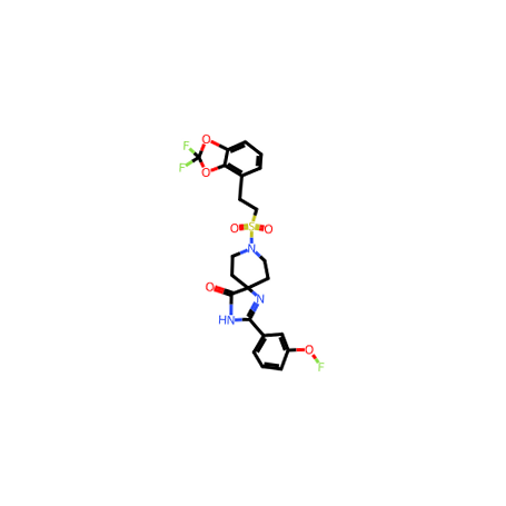 O=C1NC(c2cccc(OF)c2)=NC12CCN(S(=O)(=O)CCc1cccc3c1OC(F)(F)O3)CC2